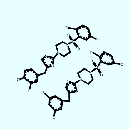 O=S(=O)(c1cc(Cl)ccc1Cl)N1CCN(c2nc(Cc3cc(F)cc(Cl)c3)cs2)CC1.O=S(=O)(c1cc(Cl)ccc1Cl)N1CCN(c2nc(Cc3ccc(Cl)c(F)c3)cs2)CC1